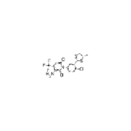 CC1CSC(c2cc(-n3c(=O)cc(C(F)(F)F)n(N)c3=O)ccc2Cl)S1